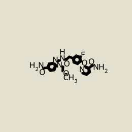 COCCn1c(NC(=O)Cc2ccc(Oc3ncccc3C(N)=O)c(F)c2)nc2cc(C(N)=O)ccc21